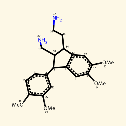 COc1ccc(C2c3cc(OC)c(OC)cc3C(CCN)C2CN)cc1OC